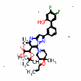 C=CCOC1(C)CCN(c2c(C(OC(C)(C)C)C(=O)O)c(C)nc3cc(-c4cccc(-c5cc(F)c(F)cc5O)c4)nn23)CC1